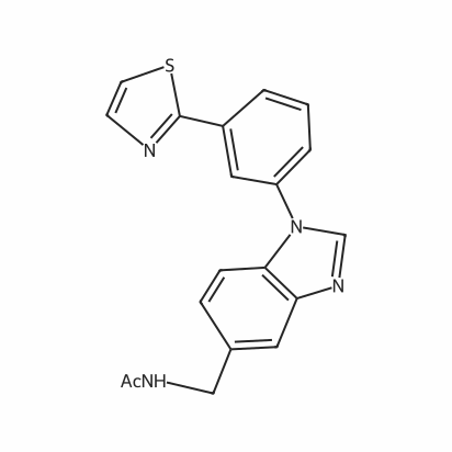 CC(=O)NCc1ccc2c(c1)ncn2-c1cccc(-c2nccs2)c1